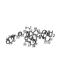 CC[C@@H](c1ccc(C(=O)Nc2ccccc2N)cc1)N(CCOCCN1CCOCC1)C(=O)O[C@@H](C)c1cccnc1